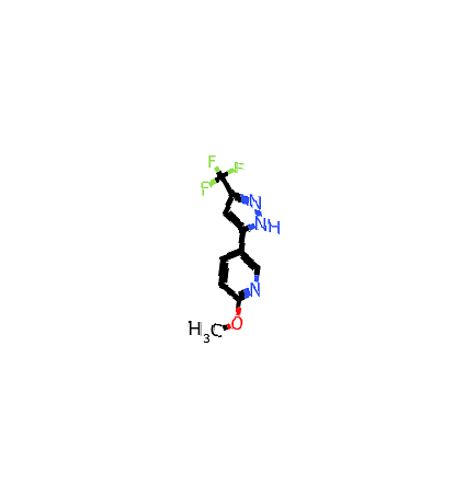 COc1ccc(-c2cc(C(F)(F)F)n[nH]2)cn1